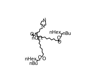 CCCCCCCCC(=O)N(CCCCN1CCN(C)CC1)C(CCCCCCCCC(=O)OCC(CCCC)CCCCCC)CCCCCCCCC(=O)OCC(CCCC)CCCCCC